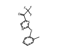 Cc1ccccc1Sc1ncc(C(=O)C(F)(F)F)s1